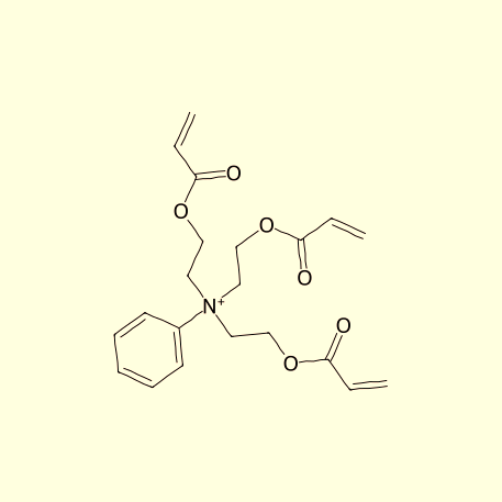 C=CC(=O)OCC[N+](CCOC(=O)C=C)(CCOC(=O)C=C)c1ccccc1